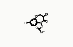 CCCC(=O)ON1C(=O)C(CC)CNc2cc(Cl)ccc21